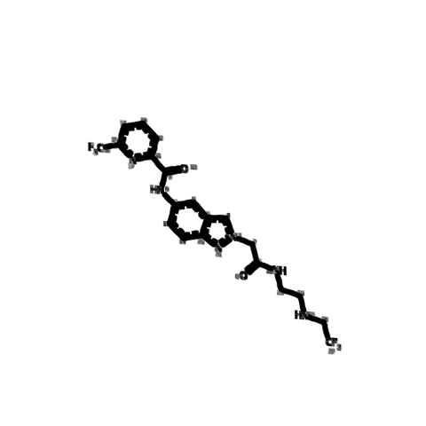 O=C(Cn1cc2cc(NC(=O)c3cccc(C(F)(F)F)n3)ccc2n1)NCCNCC(F)(F)F